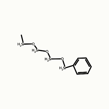 C[SiH2]O[SiH2]O[SiH2]O[SiH2]c1ccccc1